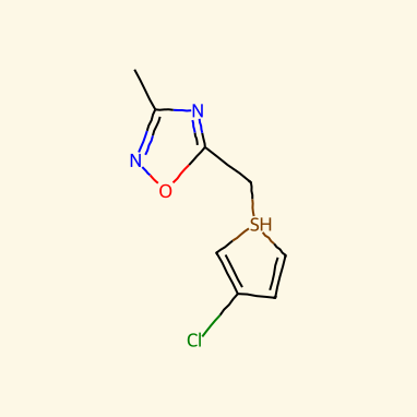 Cc1noc(C[SH]2C=CC(Cl)=C2)n1